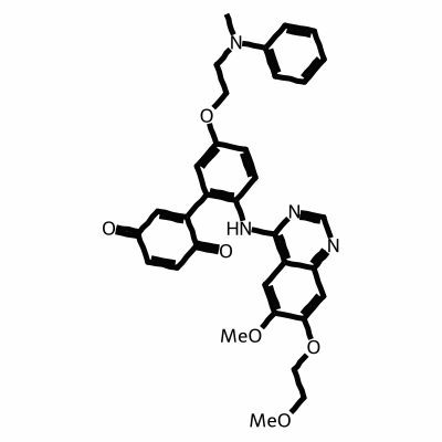 COCCOc1cc2ncnc(Nc3ccc(OCCN(C)c4ccccc4)cc3C3=CC(=O)C=CC3=O)c2cc1OC